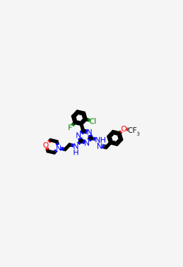 Fc1cccc(Cl)c1-c1nc(NCCN2CCOCC2)nc(N/N=C\c2ccc(OC(F)(F)F)cc2)n1